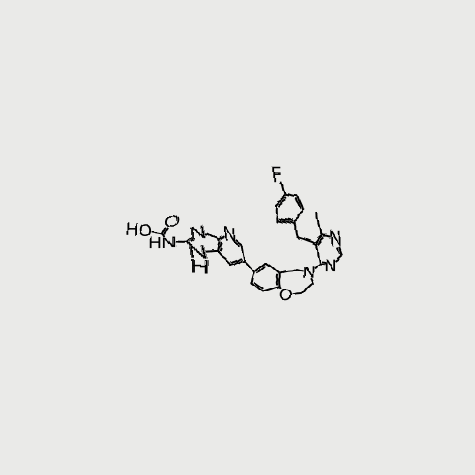 Cc1ncnc(N2CCOc3ccc(-c4cnc5nc(NC(=O)O)[nH]c5c4)cc3C2)c1Cc1ccc(F)cc1